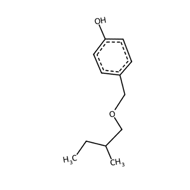 CCC(C)COCc1ccc(O)cc1